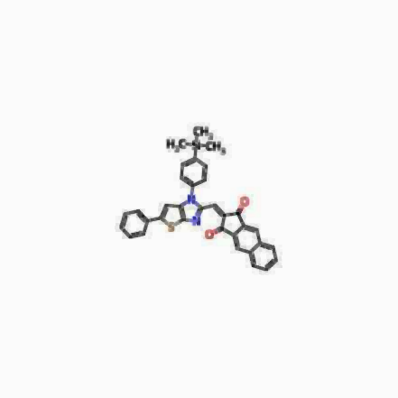 C[Si](C)(C)c1ccc(-n2c(C=C3C(=O)c4cc5ccccc5cc4C3=O)nc3sc(-c4ccccc4)cc32)cc1